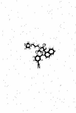 CC1(c2cccc3ccccc23)C(=O)N(CCCn2ccnc2)C(=O)N1Cc1cccc(C#N)c1